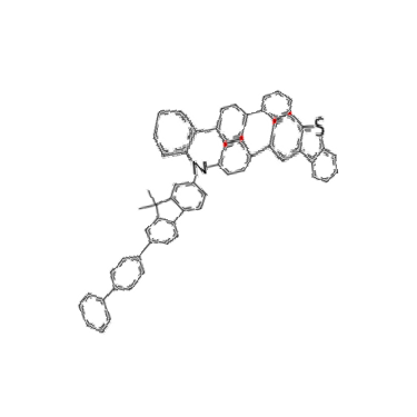 CC1(C)c2cc(-c3ccc(-c4ccccc4)cc3)ccc2-c2ccc(N(c3ccc(-c4ccc5sc6ccccc6c5c4)cc3)c3ccccc3-c3ccc(-c4ccccc4)cc3)cc21